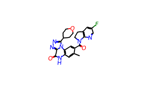 Cc1cc2[nH]c(=O)c3nnc(C4CCOCC4)n3c2cc1C(=O)N1CCc2cc(F)cnc21